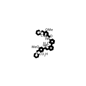 COc1cc(/C(F)=C/c2cccc(-c3cccc(NC(=O)c4cc(OC)c(CN5CCCC[C@H]5C(=O)O)cn4)c3C)c2C)ccc1CN1CCCC[C@H]1C(=O)O